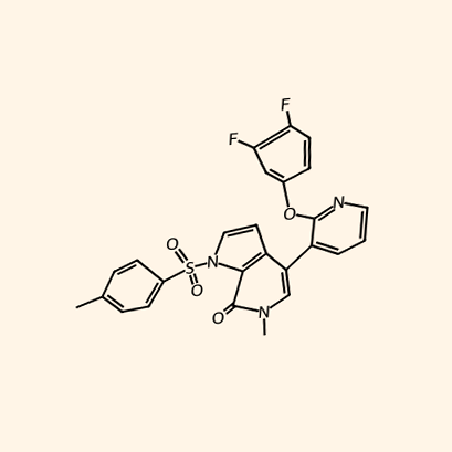 Cc1ccc(S(=O)(=O)n2ccc3c(-c4cccnc4Oc4ccc(F)c(F)c4)cn(C)c(=O)c32)cc1